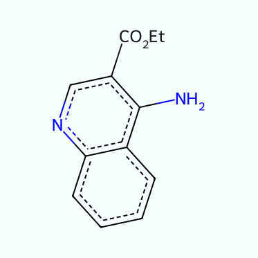 CCOC(=O)c1cnc2ccccc2c1N